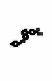 CN1CCN(CCOc2ccc3c(C4CCN(C(=O)O)CC4)ncnc3c2)CC1